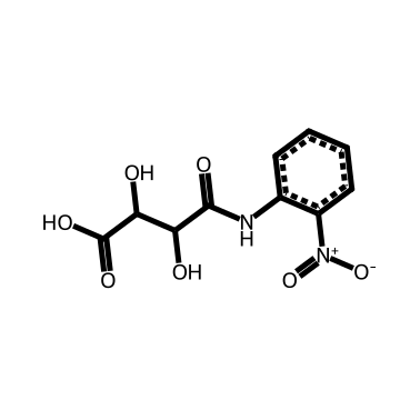 O=C(O)C(O)C(O)C(=O)Nc1ccccc1[N+](=O)[O-]